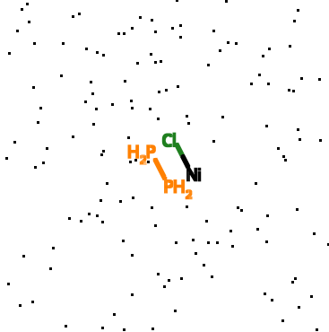 PP.[Cl][Ni]